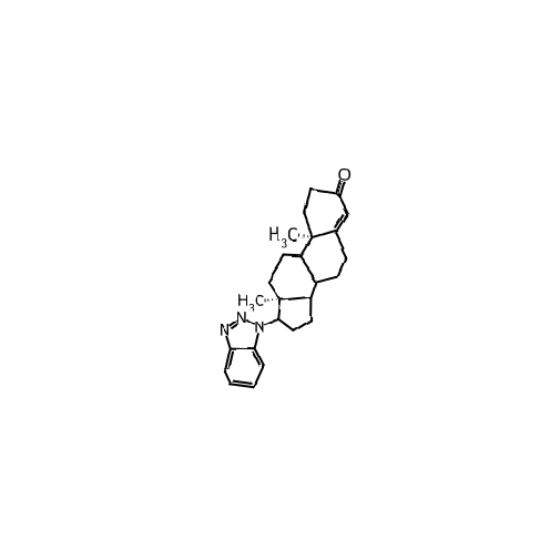 C[C@]12CCC3C(CCC4=CC(=O)CC[C@@]43C)C1CCC2n1nnc2ccccc21